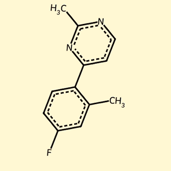 Cc1nccc(-c2ccc(F)cc2C)n1